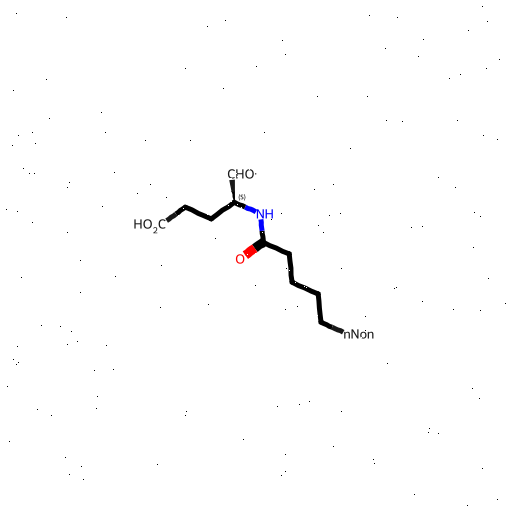 CCCCCCCCCCCCCC(=O)N[C@H]([C]=O)CCC(=O)O